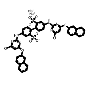 O=S(=O)([O-])c1cc(Nc2nc(Cl)cc(Oc3ccc4ccccc4c3)n2)ccc1-c1ccc(Nc2nc(Cl)cc(Oc3ccc4ccccc4c3)n2)cc1S(=O)(=O)[O-].[Na+].[Na+]